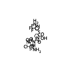 Nc1nc(/C(=N/O)C(=O)NC2C(=O)N3C(C(=O)O)=C(Sc4cnc(N)c(C(F)(F)F)c4)CCC23)c(Cl)s1